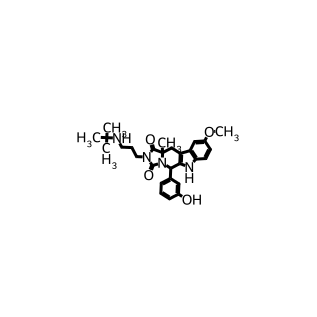 COc1ccc2[nH]c3c(c2c1)CC1(C)C(=O)N(CCCNC(C)(C)C)C(=O)N1C3c1cccc(O)c1